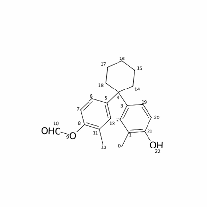 Cc1cc(C2(c3ccc(OC=O)c(C)c3)CCCCC2)ccc1O